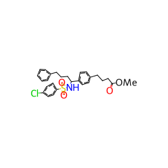 COC(=O)CCCc1ccc(C(CCCc2ccccc2)NS(=O)(=O)c2ccc(Cl)cc2)cc1